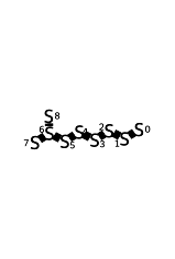 S=S=S=S=S=S=S(=S)=S